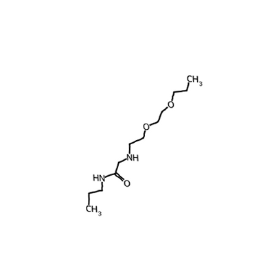 CCCNC(=O)CNCCOCCOCCC